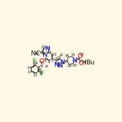 Cc1c(-c2cc(O[C@H](C)c3c(F)cccc3F)n3c(C#N)cnc3c2)nnn1C1CCN(C(=O)OC(C)(C)C)CC1